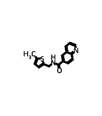 Cc1ccc(CNC(=O)c2ccc3ncccc3c2)s1